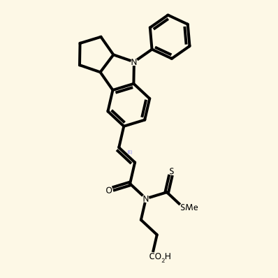 CSC(=S)N(CCC(=O)O)C(=O)/C=C/c1ccc2c(c1)C1CCCC1N2c1ccccc1